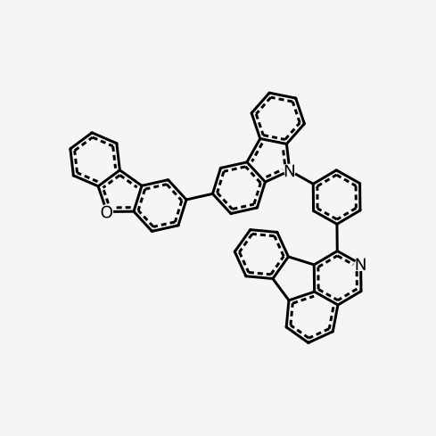 c1cc(-c2ncc3cccc4c3c2-c2ccccc2-4)cc(-n2c3ccccc3c3cc(-c4ccc5oc6ccccc6c5c4)ccc32)c1